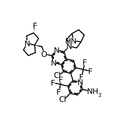 Nc1cc(Cl)c(C(F)(F)F)c(-c2c(C(F)(F)F)cc3c(N4CC5CCC(C4)N5)nc(OC[C@@]45CCCN4C[C@H](F)C5)nc3c2Cl)n1